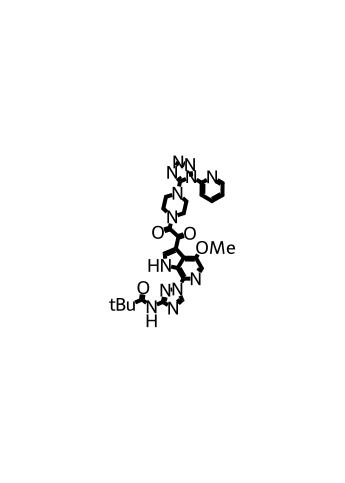 COc1cnc(-n2cnc(NC(=O)C(C)(C)C)n2)c2[nH]cc(C(=O)C(=O)N3CCN(c4nnnn4-c4ccccn4)CC3)c12